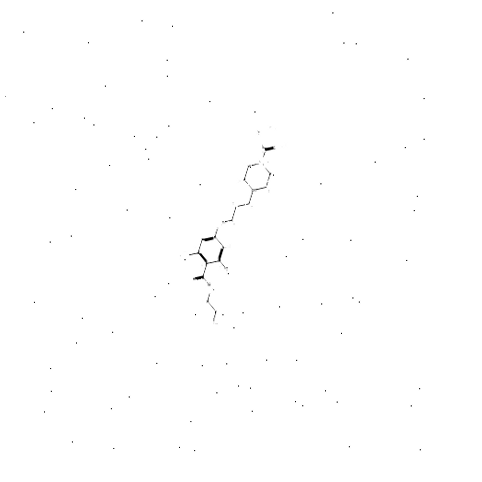 CC(C)(C)OC(=O)N1CCC(CCCOc2cc(F)c(C(=O)NCCO)c(F)c2)CC1